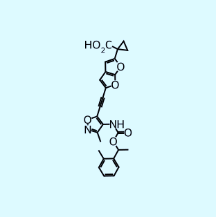 Cc1ccccc1C(C)OC(=O)Nc1c(C)noc1C#Cc1cc2cc(C3(C(=O)O)CC3)oc2o1